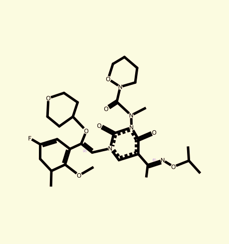 COC1=C(/C(=C/n2cc(/C(C)=N/OC(C)C)c(=O)n(N(C)C(=O)N3CCCCO3)c2=O)OC2CCOCC2)C=C(F)CC1C